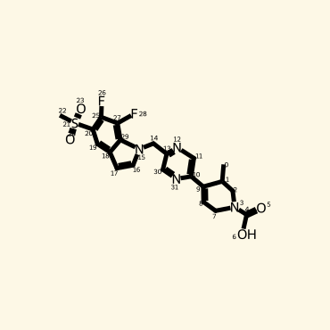 CC1CN(C(=O)O)CC=C1c1cnc(Cn2ccc3cc(S(C)(=O)=O)c(F)c(F)c32)cn1